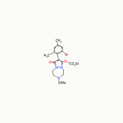 CCOC(=O)Oc1c(-c2c(C)cc(C)cc2Br)c(=O)n2n1CCN(OC)CC2